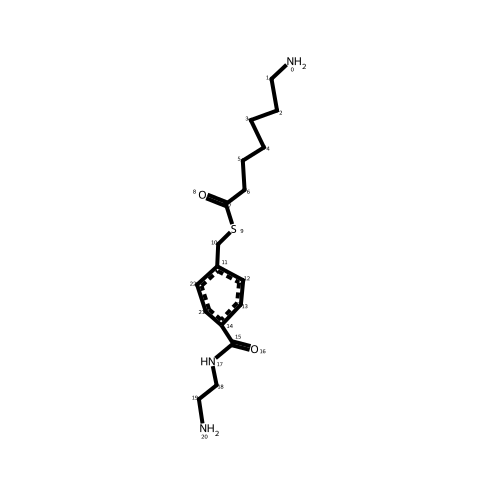 NCCCCCCC(=O)SCc1ccc(C(=O)NCCN)cc1